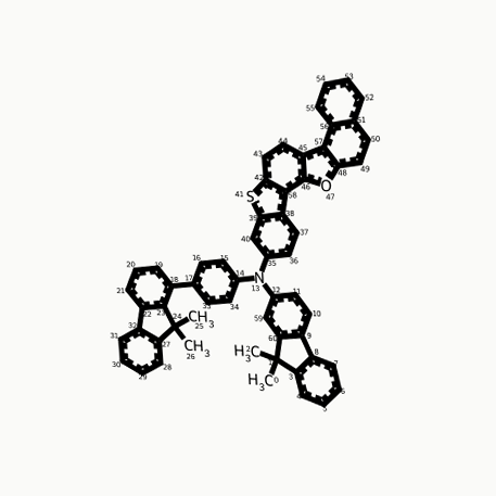 CC1(C)c2ccccc2-c2ccc(N(c3ccc(-c4cccc5c4C(C)(C)c4ccccc4-5)cc3)c3ccc4c(c3)sc3ccc5c(oc6ccc7ccccc7c65)c34)cc21